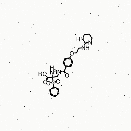 N[C@](CNC(=O)c1ccc(OCCNC2=NCCCN2)cc1)(C(=O)O)S(=O)(=O)c1ccccc1